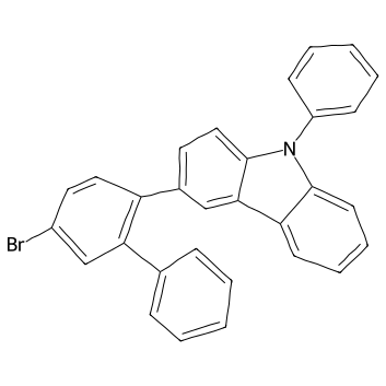 Brc1ccc(-c2ccc3c(c2)c2ccccc2n3-c2ccccc2)c(-c2ccccc2)c1